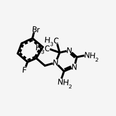 CC1(C)N=C(N)N=C(N)N1Cc1cc(Br)ccc1F